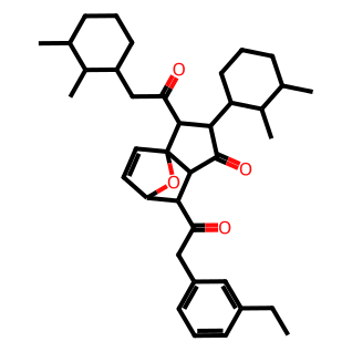 CCc1cccc(CC(=O)C2C3C=CC4(O3)C2C(=O)C(C2CCCC(C)C2C)C4C(=O)CC2CCCC(C)C2C)c1